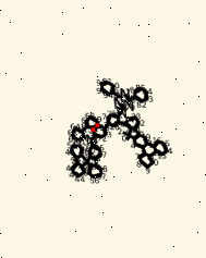 CC1(C)c2cc3c4ccccc4c4ccccc4c3cc2-c2ccc3c(c21)c1cc(-c2ccc(N(c4ccc5c(c4)C4(c6ccccc6-c6ccccc64)c4ccccc4-5)c4ccccc4-c4ccccc4)cc2)ccc1n3-c1nc(-c2ccccc2)nc(-c2ccccc2)n1